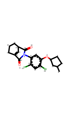 CC1CCC(Oc2cc(N3C(=O)C4=CC(CCC4)C3=O)c(F)cc2Br)C1